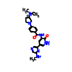 CNc1cncc(-c2c[nH]c(=O)c(NC(=O)c3ccc(N4CC[C@@H](N(C)C)C4)cc3)c2)n1